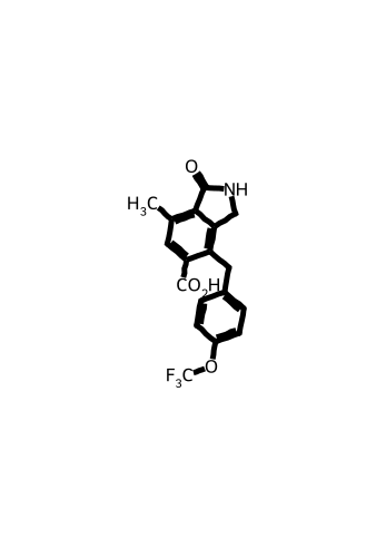 Cc1cc(C(=O)O)c(Cc2ccc(OC(F)(F)F)cc2)c2c1C(=O)NC2